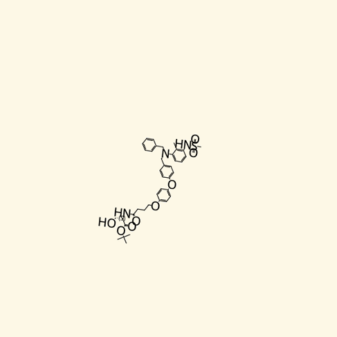 Cc1c(NS(C)(=O)=O)cccc1N(Cc1ccccc1)Cc1ccc(Oc2ccc(OCCCC(=O)N[C@@H](CO)C(=O)OC(C)(C)C)cc2)cc1